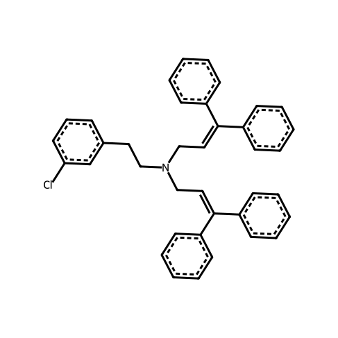 Clc1cccc(CCN(CC=C(c2ccccc2)c2ccccc2)CC=C(c2ccccc2)c2ccccc2)c1